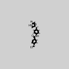 CCOc1ccc(C(=O)Nc2ccc(C[C@@]34CN[C@@H](CO3)C4)cc2)cc1